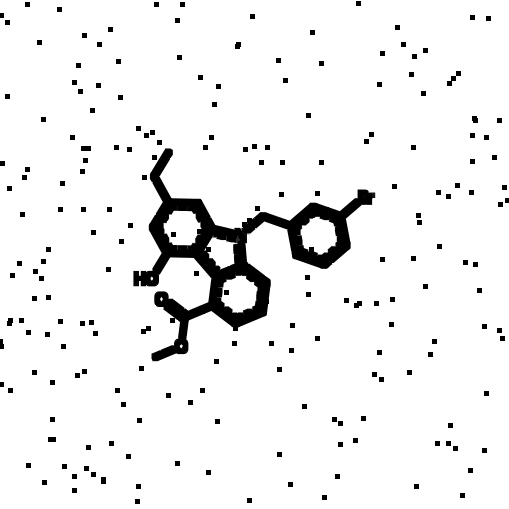 CCc1cc(O)c2c3c(C(=O)OC)cccc3n(Cc3cccc(Br)c3)c2c1